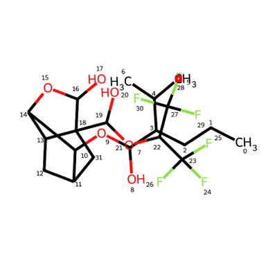 CCCC(C(C)C)C(O)OC1C2CC3C1OC(O)C3(C(O)OC(C(F)(F)F)C(F)(F)F)C2